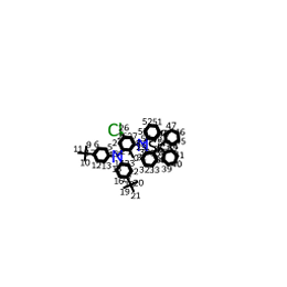 Cc1c(N(c2ccc(C(C)(C)C)cc2)c2ccc(C(C)(C)C)cc2)cc(Cl)cc1N1c2ccccc2[Si](c2ccccc2)(c2ccccc2)c2ccccc21